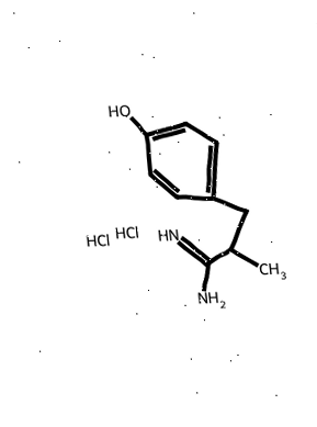 CC(Cc1ccc(O)cc1)C(=N)N.Cl.Cl